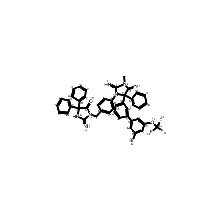 CN1C(=N)N(c2ccc(CN3C(=N)NC(c4ccccc4)(c4ccccc4)C3=O)cc2)C(c2ccccc2)(c2cccc(-c3cc(Br)cc(OC(F)(F)F)c3)c2)C1=O